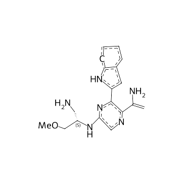 C=C(N)c1ncc(N[C@@H](CN)COC)nc1-c1cc2ccccc2[nH]1